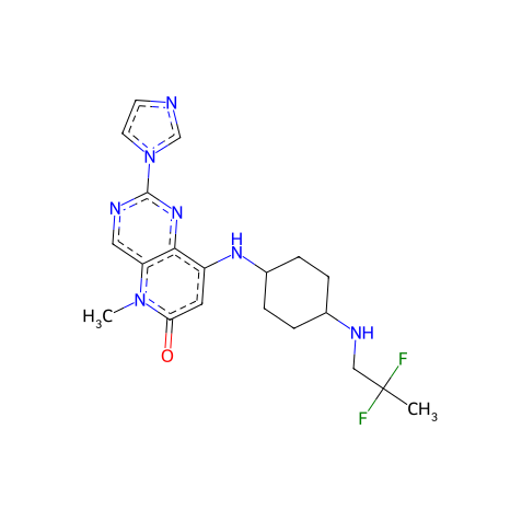 Cn1c(=O)cc(NC2CCC(NCC(C)(F)F)CC2)c2nc(-n3ccnc3)ncc21